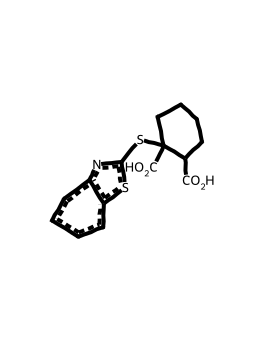 O=C(O)C1CCCCC1(Sc1nc2ccccc2s1)C(=O)O